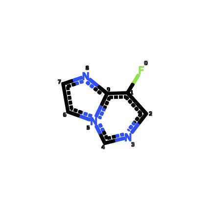 Fc1cncn2c[c]nc12